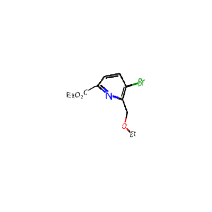 CCOCc1nc(C(=O)OCC)ccc1Br